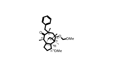 COCO[C@@H]1C[C@@](C)(Cc2ccccc2)C(=O)[C@H](C)[C@@]23CC[C@@H](C)[C@]1(C)[C@H]2[C@H](OC)CC3